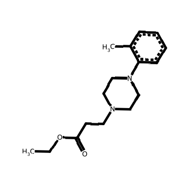 CCOC(=O)CCN1CCN(c2ccccc2C)CC1